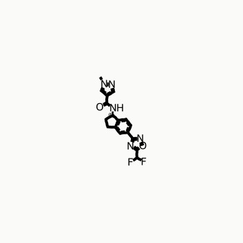 Cn1cc(C(=O)N[C@@H]2CCc3cc(-c4noc(C(F)F)n4)ccc32)cn1